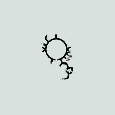 CCC1CC(C)CCCC2(C)OC2(O)C(O)C(C(C)=Cc2csc(CO)n2)OC(=O)CCC(C)(C)C1=O